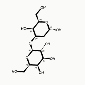 OC[C@H]1O[C@H](O)C[C@@H](O[C@@H]2O[C@H](CO)[C@H](O)[C@H](O)[C@H]2O)[C@H]1O